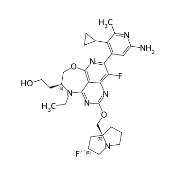 CCN1c2nc(OC[C@@]34CCCN3C[C@H](F)C4)nc3c(F)c(-c4cc(N)nc(C)c4C4CC4)nc(c23)OC[C@@H]1CCO